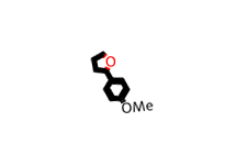 COc1ccc(C2CCCO2)cc1